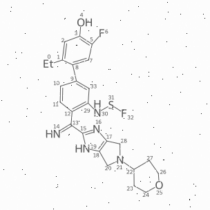 CCc1cc(O)c(F)cc1-c1ccc(C(=N)c2nc3c([nH]2)CN(C2CCOCC2)C3)c(NSF)c1